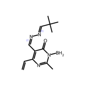 Bn1c(C)nc(C=C)c(/C=N\N=C\C(C)(C)C)c1=O